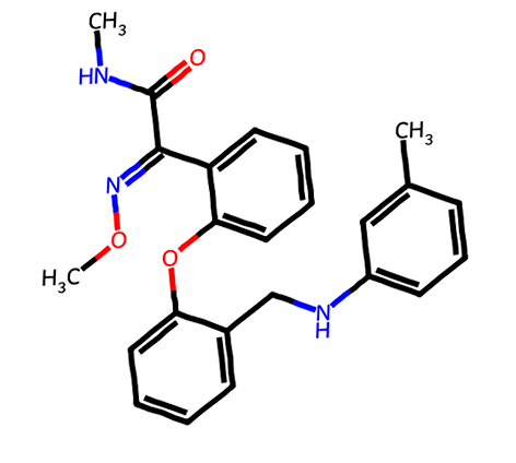 CNC(=O)/C(=N/OC)c1ccccc1Oc1ccccc1CNc1cccc(C)c1